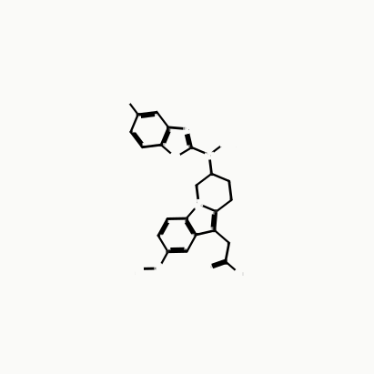 COc1ccc2c(c1)c(CC(=O)O)c1n2CC(N(C)c2nc3cc(F)ccc3o2)CC1